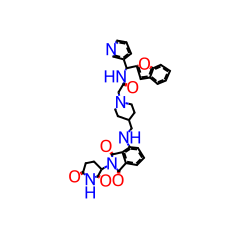 O=C1CCC(N2C(=O)c3cccc(NCC4CCN(CC(=O)NC(c5cccnc5)c5cc6ccccc6o5)CC4)c3C2=O)C(=O)N1